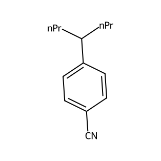 CCCC(CCC)c1ccc(C#N)cc1